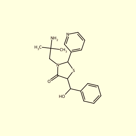 CC(C)(N)CN1C(=O)C(C(O)c2ccccc2)SC1c1cccnc1